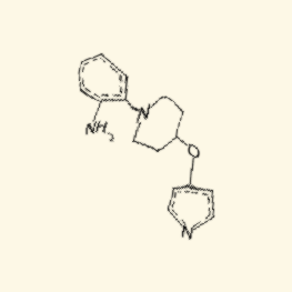 Nc1ccccc1N1CCC(Oc2ccncc2)CC1